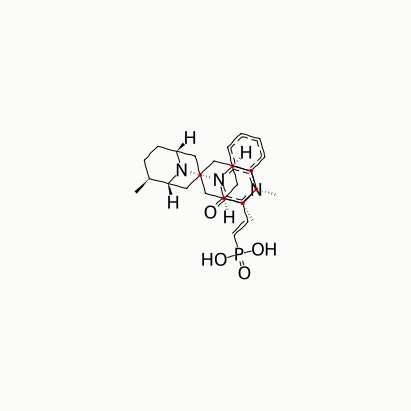 C[C@@H]1[C@@H]2C[C@@H](C[C@@H](N3[C@@H]4CC[C@H](C)[C@H]3C[C@@H](n3c(=O)c(/C=C/P(=O)(O)O)nc5ccccc53)C4)C2)C[C@@H]1C